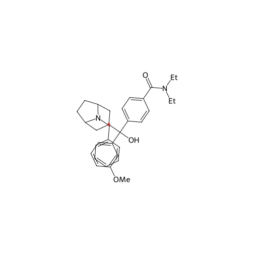 CCN(CC)C(=O)c1ccc(C(O)(c2cccc(OC)c2)C2CC3CCC(C2)N3Cc2ccccc2)cc1